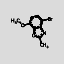 COc1ccc(Br)c2nc(C)oc12